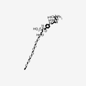 C#CCOCCOCCOCCOCCOCCOCCOCCOCCNC(=O)CC[C@H](NC(=O)c1ccc(NCc2cnc3nc(N)nc(O)c3n2)cc1)C(=O)O